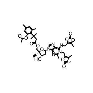 C#C[C@]1(COC(=O)CC(C)(C)c2c(C)cc(C)cc2OC(C)=O)O[C@@H](n2cnc3/c(=N/Cc4oc(=O)oc4C)n(Cc4oc(=O)oc4C)c(C)nc32)C[C@@H]1O